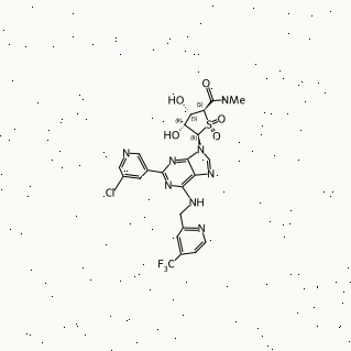 CNC(=O)[C@@H]1[C@@H](O)[C@@H](O)[C@H](n2cnc3c(NCc4cc(C(F)(F)F)ccn4)nc(-c4cncc(Cl)c4)nc32)S1(=O)=O